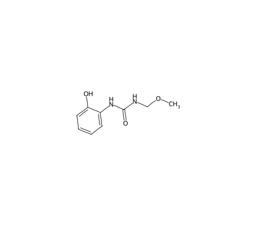 COCNC(=O)Nc1ccccc1O